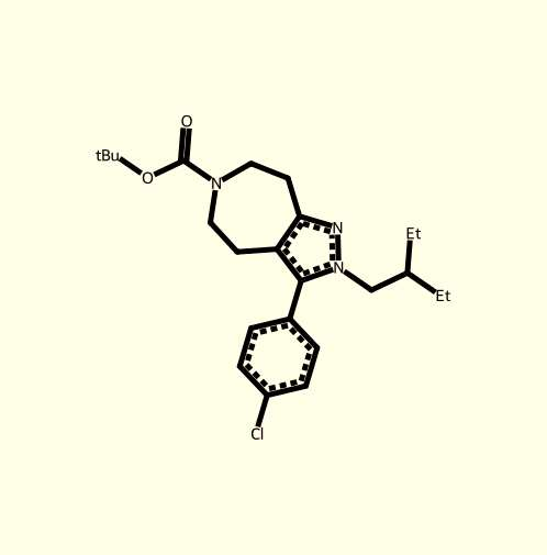 CCC(CC)Cn1nc2c(c1-c1ccc(Cl)cc1)CCN(C(=O)OC(C)(C)C)CC2